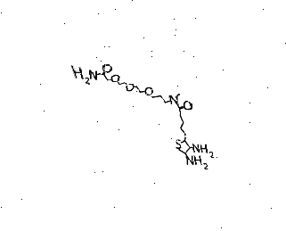 CN(CCCOCCOCCOCC(N)=O)C(=O)CCCCC1SCC(N)C1N